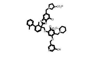 Cc1ccccc1C1=CC=CC(COc2cc(OCc3cncc(C#N)c3)c(CN3CCCC[C@H]3C(=O)O)cc2Cl)(c2nc3cc(CN4CC[C@@H](C(=O)O)C4)cc(Cl)c3o2)C1C